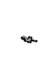 CC1(C)c2ccccc2-c2ccc(-c3ccc(-c4cccc(-c5cc(-c6ccc(-c7ccccc7)cc6)nc(-c6cccc(-c7ccccc7)c6)n5)c4)cc3)cc21